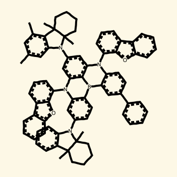 Cc1cc(C)c2c(c1)N(c1cc3c4c(c1)N(c1cccc5c1oc1ccccc15)c1cc(N5c6ccccc6C6(C)CCCCC56C)ccc1B4c1cc(-c4ccccc4)ccc1N3c1cccc3c1oc1ccccc13)C1(C)CCCCC21C